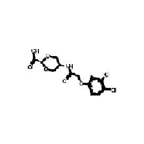 O=C(COc1ccc(Cl)c(Cl)c1)N[C@H]1CO[C@H](C(=O)O)OC1